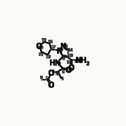 CC(=O)OC(C)C(=O)Nc1c(C(N)=O)cnn1C1CCOCC1